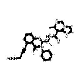 CC(=O)NCC#Cc1cccc2nc([C@@H](C)NC(=O)c3c(C)ncn4ccnc34)n(-c3ccccc3)c(=O)c12